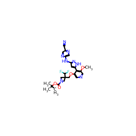 COc1cncc(OCC2(C(F)F)CN(C(=O)OC(C)(C)C)C2)c1-c1cc(Nc2cnc(C#N)cn2)n[nH]1